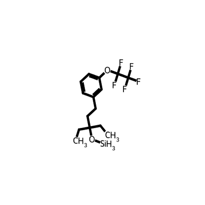 CCC(CC)(CCc1cccc(OC(F)(F)C(F)(F)F)c1)O[SiH3]